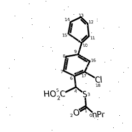 CCCC(=O)SC(C(=O)O)c1ccc(-c2ccccc2)cc1Cl